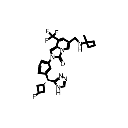 CC1(NCc2cc(C(F)(F)F)c3cn(-c4cccc([C@H](c5nnc[nH]5)C5CC(F)C5)c4)c(=O)n3c2)CCC1